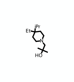 CCC1(C(C)C)CCN(CC(C)(C)O)CC1